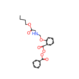 CCCCOC(=O)CNCOc1ccccc1C(=O)OOC(=O)c1ccccc1